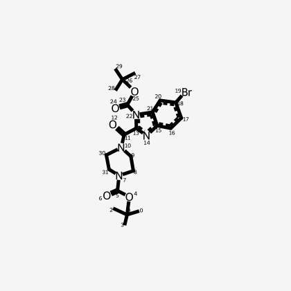 CC(C)(C)OC(=O)N1CCN(C(=O)c2nc3ccc(Br)cc3n2C(=O)OC(C)(C)C)CC1